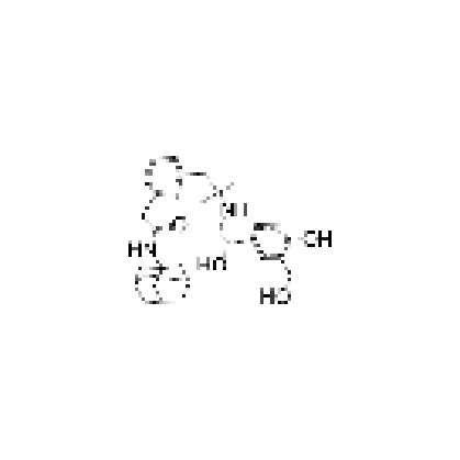 CC(C)(Cc1cccc(CC(=O)NC23CC4CC(CC(C4)C2)C3)c1)NC[C@@H](O)c1ccc(O)c(CO)c1